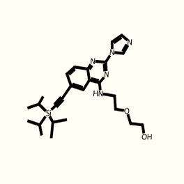 CC(C)[Si](C#Cc1ccc2nc(-n3ccnc3)nc(NCCOCCO)c2c1)(C(C)C)C(C)C